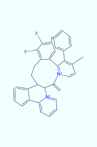 C=C1C2C(CCc3c(cc(F)c(F)c3F)-c3c(-c4ccccc4)c(C)cc[n+]31)c1ccccc1-c1cccc[n+]12